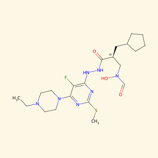 CCN1CCN(c2nc(SC)nc(NNC(=O)[C@@H](CC3CCCC3)CN(O)C=O)c2F)CC1